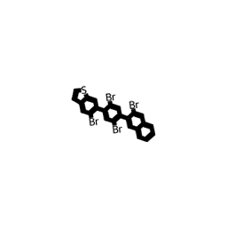 Brc1cc(-c2cc3sccc3cc2Br)c(Br)cc1-c1cc2ccccc2cc1Br